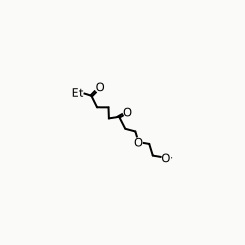 CCC(=O)CCCC(=O)CCOCC[O]